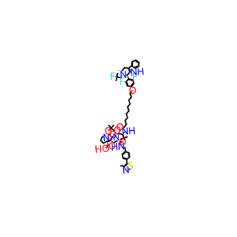 Cc1ncsc1-c1ccc(CNC(=O)[C@@H]2C[C@@H]([C@]3(C(=O)O)CCCN3C(=O)OC(C)(C)C)CN2C(=O)[C@@H](NC(=O)CCCCCCCCCCOc2cc(F)c([C@@H]3c4[nH]c5ccccc5c4C[C@@H](C)N3CC(C)(C)F)c(F)c2)C(C)(C)C)cc1